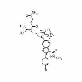 CNC(=O)c1c2cc(C3CC3)c(N(CCCN(C(=O)CCC(N)=O)C(C)C)S(C)(=O)=O)cc2nn1-c1ccc(Br)cc1